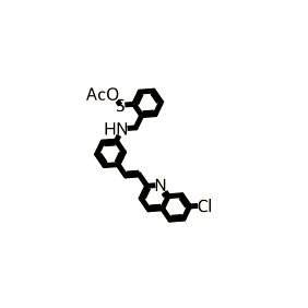 CC(=O)OSc1ccccc1CNc1cccc(/C=C/c2ccc3ccc(Cl)cc3n2)c1